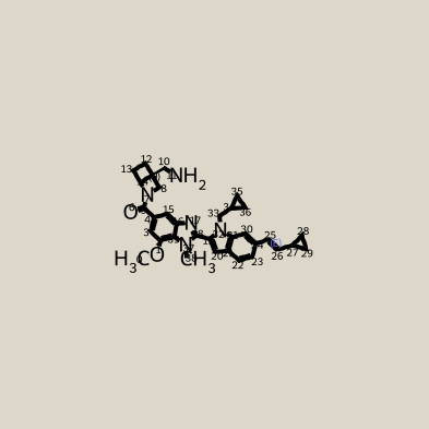 COc1cc(C(=O)N2C[C@@]3(CN)CCC23)cc2nc(-c3cc4ccc(/C=C/C5CC5)cc4n3CC3CC3)n(C)c12